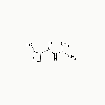 CC(C)NC(=O)C1CCN1O